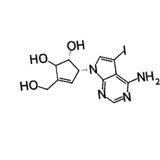 Nc1ncnc2c1c(I)cn2[C@@H]1C=C(CO)C(O)[C@@H]1O